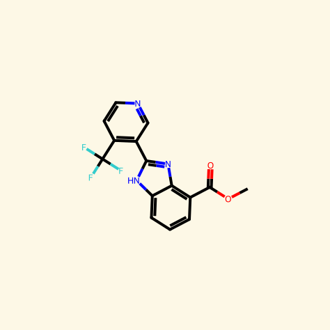 COC(=O)c1cccc2[nH]c(-c3cnccc3C(F)(F)F)nc12